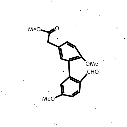 COC(=O)Cc1ccc(OC)c(-c2cc(OC)ccc2C=O)c1